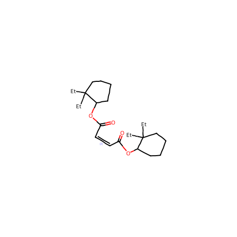 CCC1(CC)CCCCC1OC(=O)/C=C\C(=O)OC1CCCCC1(CC)CC